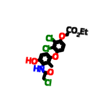 CCOC(=O)COc1ccc(Oc2ccc(O)c(NC(=O)CCl)c2C)c(Cl)c1Cl